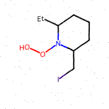 CCC1CCCC(CI)N1OO